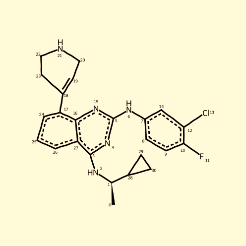 C[C@@H](Nc1nc(Nc2ccc(F)c(Cl)c2)nc2c(C3=CCNCC3)cccc12)C1CC1